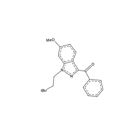 COc1ccc2c(C(=O)c3ccccc3)nn(CCC(C)(C)C)c2c1